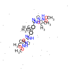 COC(=O)N[C@H](C(=O)N1CCC[C@H]1c1cnc(-c2ccc3c(c2)[Si](C)(C)c2cc(-c4cnc([C@@H]5CCCN5C(=O)[C@@H](NC(=O)OC)C(C)C)[nH]4)ccc2-3)[nH]1)C(C)C